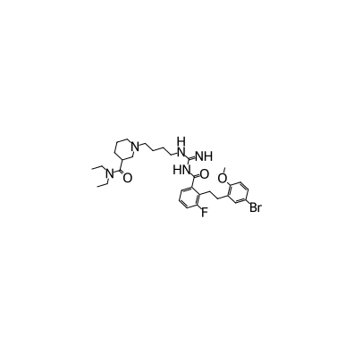 CCN(CC)C(=O)C1CCCN(CCCCNC(=N)NC(=O)c2cccc(F)c2CCc2cc(Br)ccc2OC)C1